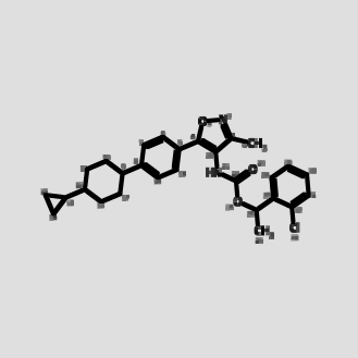 Cc1noc(-c2ccc(C3CCC(C4CC4)CC3)cc2)c1NC(=O)OC(C)c1ccccc1Cl